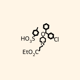 CCOC(=O)CCCN1CCC(OC(c2ccccc2)c2ccc(Cl)cc2)CC1.Cc1ccc(S(=O)(=O)O)cc1